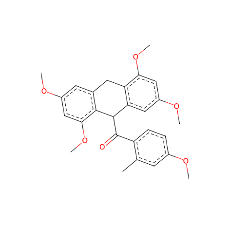 COc1ccc(C(=O)C2c3cc(OC)cc(OC)c3Cc3cc(OC)cc(OC)c32)c(C)c1